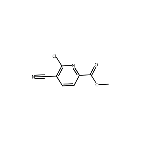 COC(=O)c1ccc(C#N)c(Cl)n1